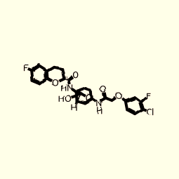 O=C(COc1ccc(Cl)c(F)c1)NC12CCC(NC(=O)[C@H]3CCc4cc(F)ccc4O3)(CC1)[C@@H](O)C2